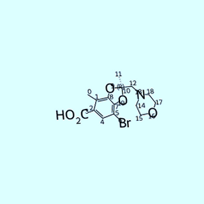 Cc1c(C(=O)O)cc(Br)c2c1O[C@@](C)(CN1CCOCC1)O2